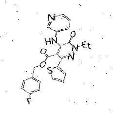 CCn1nc(-c2cccs2)c(C(=O)OCc2ccc(F)cc2)c(Nc2cccnc2)c1=O